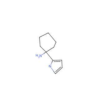 NC1(C2=CC=C[N]2)CCCCC1